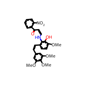 COc1ccc(/C=C\c2cc(OC)c(OC)c(OC)c2)c(N/C=C\C(=O)c2ccccc2[N+](=O)[O-])c1O